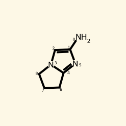 Nc1cn2c(n1)CCC2